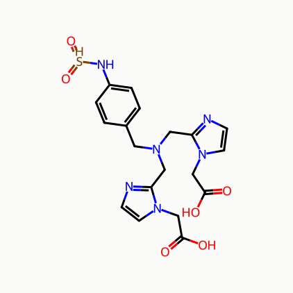 O=C(O)Cn1ccnc1CN(Cc1ccc(N[SH](=O)=O)cc1)Cc1nccn1CC(=O)O